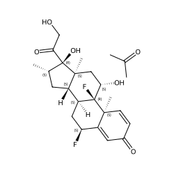 CC(C)=O.C[C@H]1C[C@H]2[C@@H]3C[C@H](F)C4=CC(=O)C=C[C@]4(C)[C@@]3(F)[C@@H](O)C[C@]2(C)[C@@]1(O)C(=O)CO